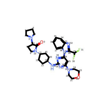 O=C1C(N2CCCC2)CCN1[C@H]1CC[C@H](Nc2nc(N3CCOCC3)cc(-n3c(C(F)F)nc4ccccc43)n2)CC1